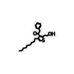 CCCCCCCCCc1csc(CCO)c1C(=O)Cc1ccccc1